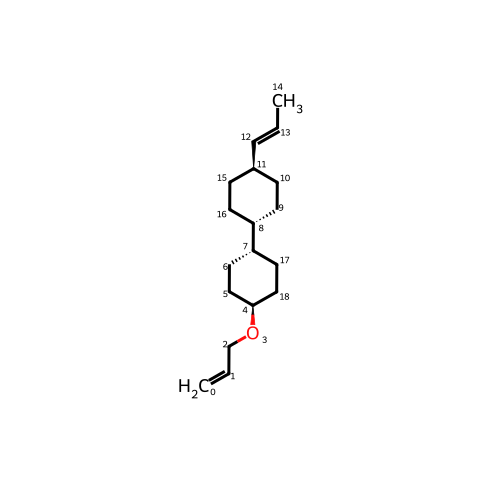 C=CCO[C@H]1CC[C@H]([C@H]2CC[C@H](C=CC)CC2)CC1